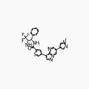 Cn1cc(-c2cnc3c(-c4csc(C(=O)NC(c5ccccc5)[C@@H](N)C(F)(F)F)c4)cnn3c2)cn1